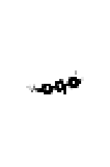 NCC1CCC(c2cc(F)c(-c3ccc(F)c(F)c3)c(F)c2)CC1